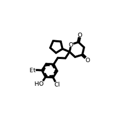 CCc1cc(CCC2(C3CCCC3)CC(=O)CC(=O)O2)cc(Cl)c1O